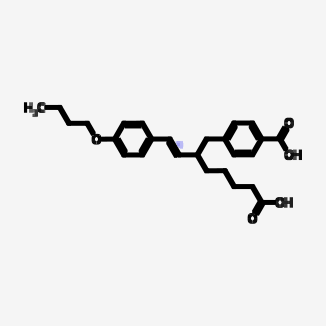 CCCCOc1ccc(/C=C/C(CCCCC(=O)O)Cc2ccc(C(=O)O)cc2)cc1